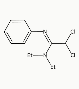 CCN(CC)C(=Nc1ccccc1)C(Cl)Cl